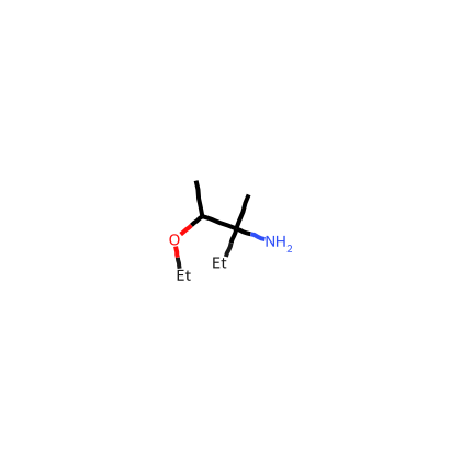 CCOC(C)C(C)(N)CC